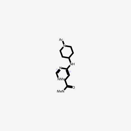 CN/C=N\C(=C/CC(=O)NC)NC1CCN(C(C)=O)CC1